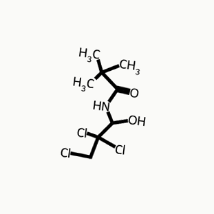 CC(C)(C)C(=O)NC(O)C(Cl)(Cl)CCl